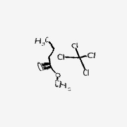 CCC(=O)OC.ClC(Cl)(Cl)Cl